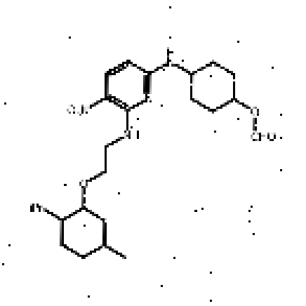 CC1CCC(C(C)C)C(OCCNc2nc(NC3CCC(OC=O)CC3)ccc2[N+](=O)[O-])C1